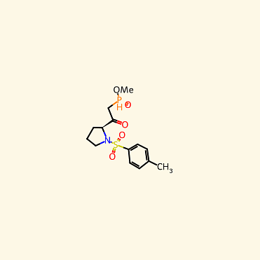 CO[PH](=O)CC(=O)[C@@H]1CCCN1S(=O)(=O)c1ccc(C)cc1